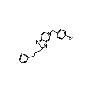 Brc1ccc(Cn2ccc3nc(CCCc4ccccc4)nc-3c2)cc1